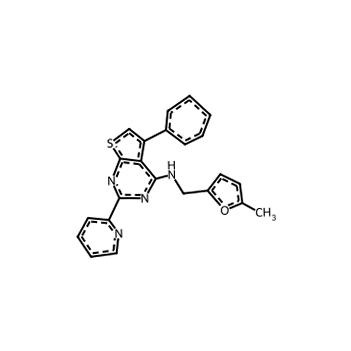 Cc1ccc(CNc2nc(-c3ccccn3)nc3scc(-c4ccccc4)c23)o1